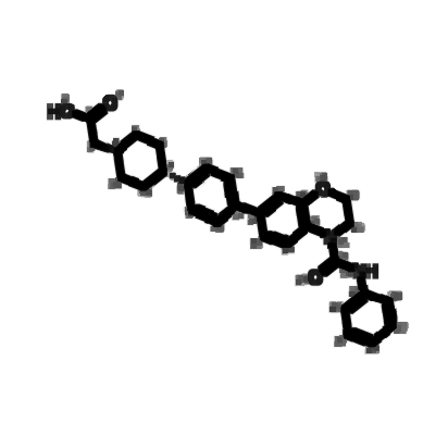 O=C(O)C[C@H]1CC[C@H](c2ccc(-c3ccc4c(c3)OCCN4C(=O)Nc3ccccc3)cc2)CC1